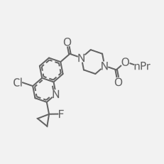 CCCOC(=O)N1CCN(C(=O)c2ccc3c(Cl)cc(C4(F)CC4)nc3c2)CC1